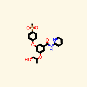 CC(CO)Oc1cc(Oc2ccc(S(C)(=O)=O)cc2)cc(C(=O)Nc2ccccn2)c1